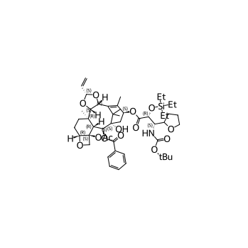 C=C[C@@H]1O[C@@H]2C3=C(C)[C@@H](OC(=O)[C@H](O[Si](CC)(CC)CC)[C@@H](NC(=O)OC(C)(C)C)C4CCCO4)C[C@@](O)([C@@H](OC(=O)c4ccccc4)[C@H]4[C@@](C)(CC[C@H]5OC[C@]54OC(C)=O)[C@@H]2O1)C3(C)C